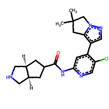 CC1(C)Cc2c(-c3cc(NC(=O)C4C[C@H]5CNC[C@H]5C4)ncc3Cl)cnn2C1